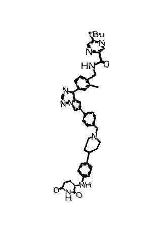 Cc1cc(-c2ncnn3cc(-c4ccc(CN5CCC(c6ccc(NC7CCC(=O)NC7=O)cc6)CC5)cc4)cc23)ccc1CNC(=O)c1cnc(C(C)(C)C)cn1